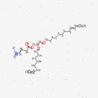 CCCCCCCCC=CCCCCCCCCOCC(COC(=O)CCCN(C)C)OCCCCCCCCCCCCCCCC